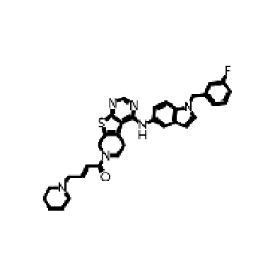 O=C(C=CCN1CCCCC1)N1CCc2c(sc3ncnc(Nc4ccc5c(ccn5Cc5cccc(F)c5)c4)c23)C1